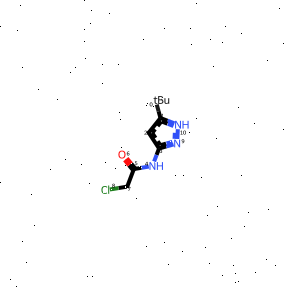 CC(C)(C)c1cc(NC(=O)CCl)n[nH]1